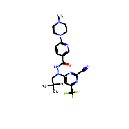 CN1CCN(c2ccc(C(=O)NN(CC(C)(C)C)c3cc(C(F)(F)F)nc(C#N)n3)cn2)CC1